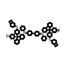 Fc1ccc(C2(c3ccc(Sc4ccc5c(c4)CC5)cc3)c3ccccc3-c3ccc(N(c4ccccc4)c4ccc(-c5ccc(N(c6ccccc6)c6ccc7c(c6)[C@@](c6ccc(F)cc6)(c6ccc(Sc8ccc9c(c8)CC9)cc6)c6ccccc6-7)cc5)cc4)cc32)cc1